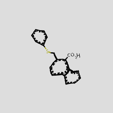 O=C(O)c1c(CSc2ccccc2)ccc2ccccc12